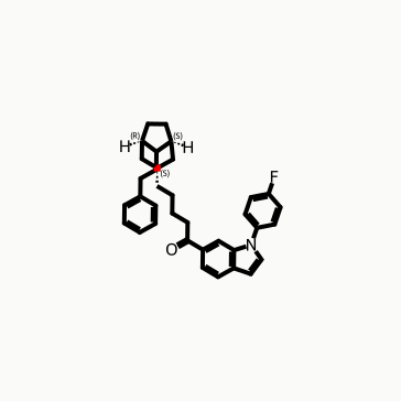 O=C(CCCC[C@@H]1C[C@H]2CC[C@@H](C1)C2CCc1ccccc1)c1ccc2ccn(-c3ccc(F)cc3)c2c1